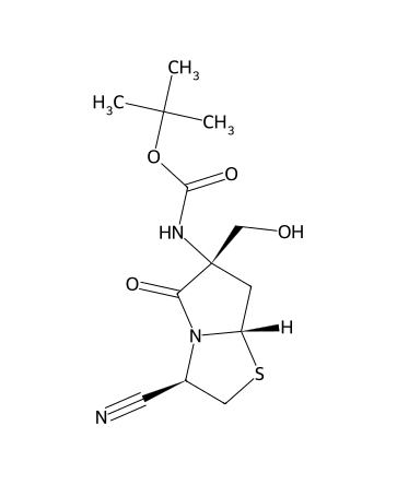 CC(C)(C)OC(=O)N[C@]1(CO)C[C@@H]2SC[C@@H](C#N)N2C1=O